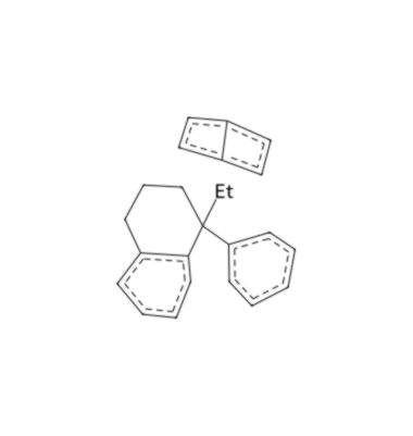 CCC1(c2ccccc2)CCCc2ccccc21.c1cc2ccc1-2